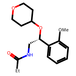 CCC(=O)NC[C@H](OC1CCOCC1)c1ccccc1OC